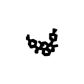 COc1ccc(C(=O)N2c3ccccc3[C@H](N(C(C)=O)c3ccc(Br)cc3)C[C@@H]2C)cc1